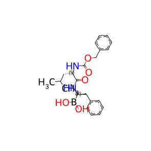 CC(C)C[C@H](NC(=O)OCc1ccccc1)C(=O)N[C@@H](Cc1ccccc1)B(O)O